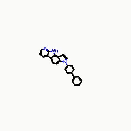 c1ccc(-c2ccc(-n3ccc4c5[nH]c6ncccc6c5ccc43)cc2)cc1